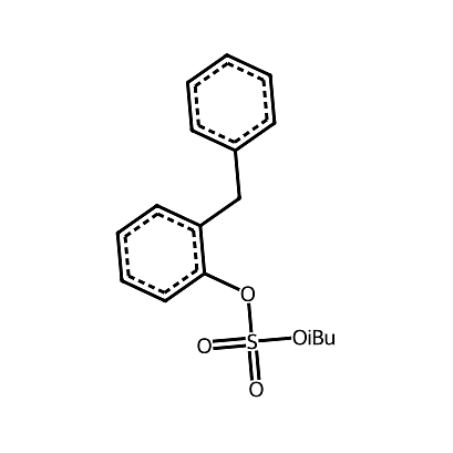 CC(C)COS(=O)(=O)Oc1ccccc1Cc1ccccc1